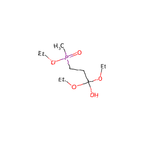 CCOC(O)(CCP(C)(=O)OCC)OCC